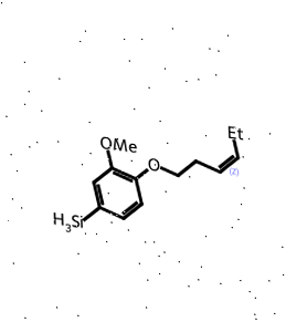 CC/C=C\CCOc1ccc([SiH3])cc1OC